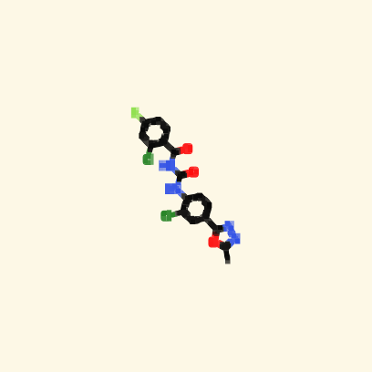 Cc1nnc(-c2ccc(NC(=O)NC(=O)c3ccc(F)cc3Cl)c(Cl)c2)o1